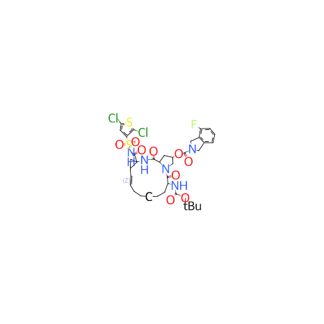 CC(C)(C)OC(=O)NC1CCCCC/C=C\C2CC2(C(=O)NS(=O)(=O)c2cc(Cl)sc2Cl)NC(=O)C2CC(OC(=O)N3Cc4cccc(F)c4C3)CN2C1=O